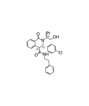 CC(C)[C@@H](CO)N1C(=O)c2ccccc2[C@H](C(=O)NCCc2ccccc2)[C@H]1c1ccc(Cl)cc1